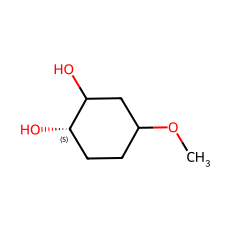 COC1CC[C@H](O)C(O)C1